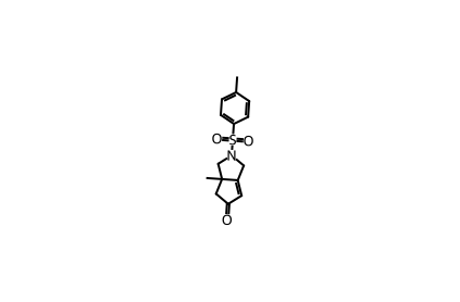 Cc1ccc(S(=O)(=O)N2CC3=CC(=O)CC3(C)C2)cc1